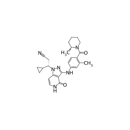 Cc1cc(Nc2nn([C@@H](CC#N)C3CC3)c3cc[nH]c(=O)c23)ccc1C(=O)N1CCCC[C@@H]1C